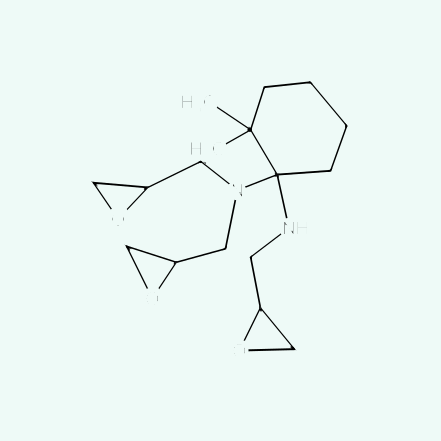 CC1(C)CCCCC1(NCC1CO1)N(CC1CO1)CC1CO1